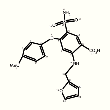 COc1ccc(Oc2cc(NCc3ccco3)c(C(=O)O)cc2S(N)(=O)=O)cc1